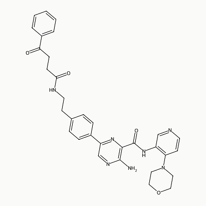 Nc1ncc(-c2ccc(CCNC(=O)CCC(=O)c3ccccc3)cc2)nc1C(=O)Nc1cnccc1N1CCOCC1